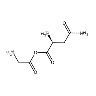 NCC(=O)OC(=O)[C@@H](N)CC(N)=O